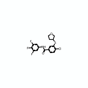 O=C(Nc1cc(F)c(F)c(F)c1)c1ccc(Cl)c(SC2CCOC2)c1